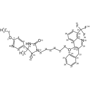 CCOc1ccc(C2(C)NC(=O)N(CCCCCCOc3c(Cc4ccccc4)cnc4c(C(F)(F)F)cccc34)C2=O)cn1